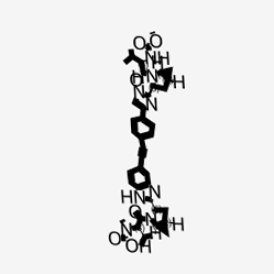 COC(=O)N[C@H](C(=O)N1[C@@H]2C[C@@H]2C[C@H]1c1nc(-c2ccc(C#Cc3ccc4[nH]c([C@@H]5C[C@H]6C[C@H]6N5C(=O)[C@H](C(C)C)N(C)C(=O)O)nc4c3)cc2)c[nH]1)C(C)C